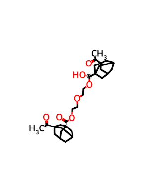 CC(=O)C12CC3CC(C1)CC([C@@H](O)OCCOCCOC(=O)[C@]14CC5CC(C[C@](C(C)=O)(C5)C1)C4)(C3)C2